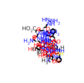 CC(C)C[C@H](NC(=O)[C@@H](NC(=O)[C@H](Cc1ccccc1)NC(=O)CNC(=O)[C@H](Cc1c[nH]c2ccccc12)NC(=O)[C@H](Cc1cnc[nH]1)NC(=O)[C@@H](NC(=O)[C@@H](NC(=O)[C@H](CS)NC(=O)CNC(=O)[C@H](Cc1cnc[nH]1)NC(=O)[C@H](Cc1ccc(O)cc1)NC(=O)[C@H](CC(N)=O)NC(=O)[C@H](CCC(=O)O)NC(=O)[C@H](CCCNC(=N)N)NC(=O)CN)[C@@H](C)O)[C@@H](C)O)[C@@H](C)O)C(=O)N[C@@H](CS)C(=O)O